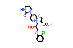 O=C(O)/C=C/C(=O)O.O=C1NCCCN1C1CCN(CC(O)COc2ccccc2Cl)CC1